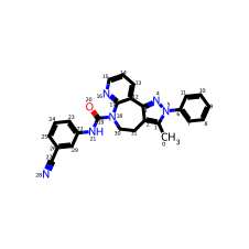 Cc1c2c(nn1-c1ccccc1)-c1cccnc1N(C(=O)Nc1cccc(C#N)c1)CC2